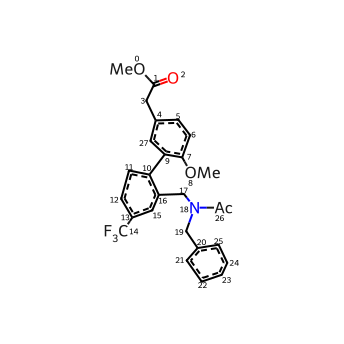 COC(=O)Cc1ccc(OC)c(-c2ccc(C(F)(F)F)cc2CN(Cc2ccccc2)C(C)=O)c1